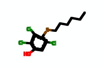 CCCCCCSc1c(Cl)cc(O)c(Cl)c1Cl